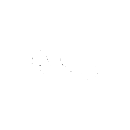 CC1(CNCc2ccccc2)CCOC1=O